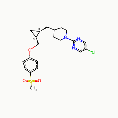 CS(=O)(=O)c1ccc(OC[C@H]2C[C@H]2CC2CCN(c3ncc(Cl)cn3)CC2)cc1